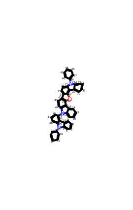 c1ccc(-n2c3ccccc3c3c(-n4c5ccccc5c5c6oc7c(ccc8c7c7ccccc7n8-c7ccccc7)c6ccc54)cccc32)cc1